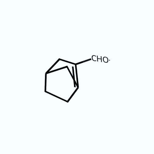 O=[C]C1=C2CCC(C1)C2